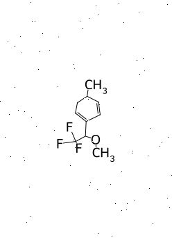 COC(C1=CCC(C)C=C1)C(F)(F)F